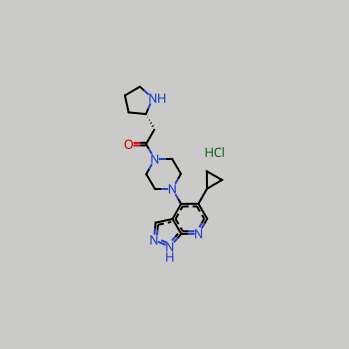 Cl.O=C(C[C@@H]1CCCN1)N1CCN(c2c(C3CC3)cnc3[nH]ncc23)CC1